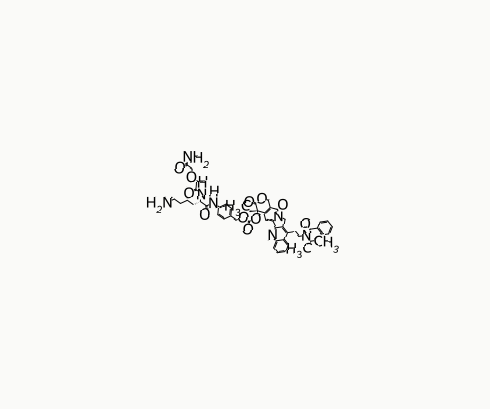 CC[C@@]1(OC(=O)OCc2ccc(NC(=O)[C@H](CCCCN)NC(=O)COCC(N)=O)cc2)C(=O)OCc2c1cc1n(c2=O)Cc2c-1nc1ccccc1c2CCN(C(=O)c1ccccc1)C(C)C